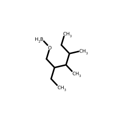 BOCC(CC)C(C)C(C)CC